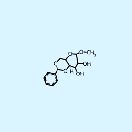 CO[C@@H]1OC2COC(c3ccccc3)O[C@@H]2C(O)C1O